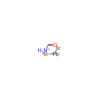 [Br][Pb][Br].[NH3+]C=O